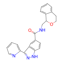 O=C(NCC1OCCc2ccccc21)c1ccc2[nH]nc(-c3ccccn3)c2c1